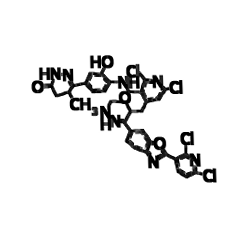 CC1CC(=O)NN=C1c1ccc(NC(=O)c2c(CC3CCNN=C3c3ccc4nc(-c5ccc(Cl)nc5Cl)oc4c3)cc(Cl)nc2Cl)c(O)c1